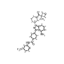 CC1(C(=O)N2CCC[C@@H](n3nc(-c4ccc(C(=O)Nc5cc(C(F)(F)F)ccn5)cc4)c4c(N)nccc43)C2)COC1